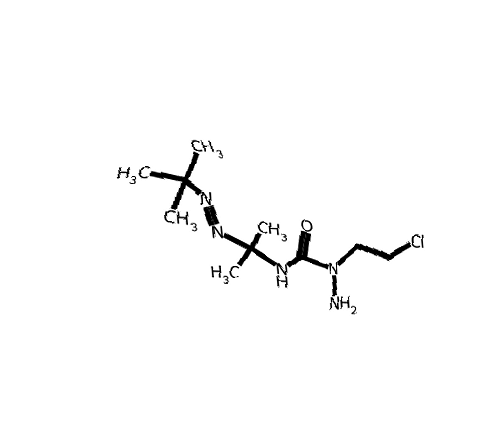 CC(C)(C)N=NC(C)(C)NC(=O)N(N)CCCl